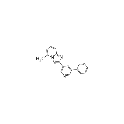 Cc1cccc2nc(-c3cncc(-c4ccccc4)c3)nn12